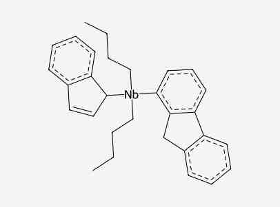 CCC[CH2][Nb]([CH2]CCC)([c]1cccc2c1Cc1ccccc1-2)[CH]1C=Cc2ccccc21